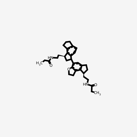 CCC(=O)NCC[C@@H]1CCc2cc(C3C[C@@H](CCNC(=O)CC)c4c3ccc3c4CCC3)c3c(c21)CCO3